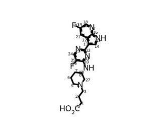 O=C(O)CCCN1CCC[C@H](Nc2nc(-c3c[nH]c4ncc(F)cc34)ncc2F)C1